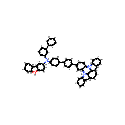 c1ccc(-c2cccc(N(c3ccc(-c4ccc(-c5ccc6c(c5)n5c7ccccc7c7ccc8c9ccccc9n6c8c75)cc4)cc3)c3ccc4oc5ccccc5c4c3)c2)cc1